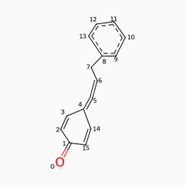 O=C1C=CC(=C=CCc2ccccc2)C=C1